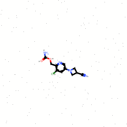 N#CC1CN(c2cnc(COC(N)=O)c(Cl)c2)C1